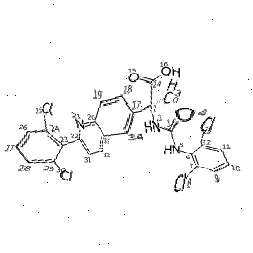 C[C@@](NC(=O)Nc1c(Cl)cccc1Cl)(C(=O)O)c1ccc2nc(-c3c(Cl)cccc3Cl)ccc2c1